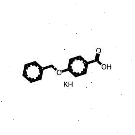 O=C(O)c1ccc(OCc2ccccc2)cc1.[KH]